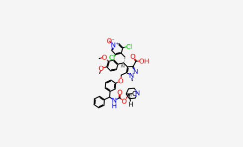 COc1ccc([C@H](Cc2c(Cl)c[n+]([O-])cc2Cl)c2c(C(=O)O)nn(C)c2COc2cccc(C(NC(=O)O[C@H]3CN4CCC3CC4)c3ccccc3)c2)cc1OC